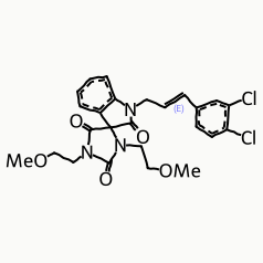 COCCN1C(=O)N(CCOC)C2(C1=O)C(=O)N(C/C=C/c1ccc(Cl)c(Cl)c1)c1ccccc12